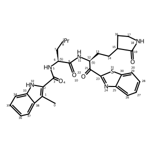 Cc1c(C(=O)N[C@@H](CC(C)C)C(=O)N[C@@H](CCC2CCNC2=O)C(=O)c2nc3ccccc3s2)[nH]c2ccccc12